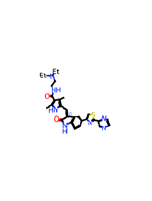 CCN(CC)CCNC(=O)c1c(C)[nH]c(/C=C2\C(=O)Nc3ccc(-c4csc(-c5cnccn5)n4)cc32)c1C